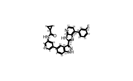 O=C(Nc1cncc(-c2ccc3[nH]nc(-c4nc5c(-c6cccc(F)c6)ccnc5[nH]4)c3c2)c1)C1CC1